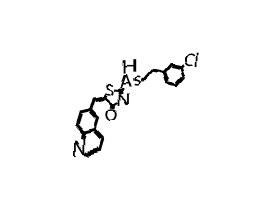 O=C1N=C([AsH]CCc2cccc(Cl)c2)SC1=Cc1ccc2ncccc2c1